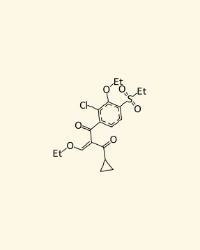 CCO/C=C(\C(=O)c1ccc(S(=O)(=O)CC)c(OCC)c1Cl)C(=O)C1CC1